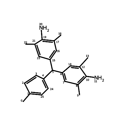 Cc1ccc(C(c2cc(C)c(N)c(C)c2)c2cc(C)c(N)c(C)c2)cc1